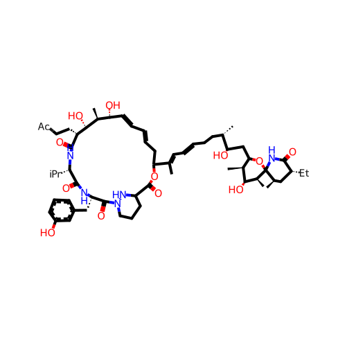 CC[C@@H]1C[C@@H](C)C2(NC1=O)OC(C[C@H](O)[C@@H](C)CC/C=C/C=C(\C)C1C/C=C/C=C/[C@@H](O)[C@H](C)[C@@H](O)[C@@H](CCC(C)=O)C(=O)N[C@@H](C(C)C)C(=O)N[C@@H](Cc3cccc(O)c3)C(=O)N3CCCC(N3)C(=O)O1)[C@H](C)[C@H](O)[C@@H]2C